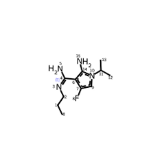 CCC/N=C(/N)c1c(F)cn(C(C)C)c1N